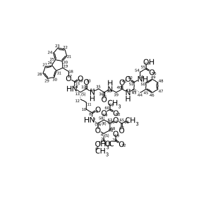 COC(=O)[C@H]1O[C@H](NC(=O)CCC[C@H](NC(=O)OCC2c3ccccc3-c3ccccc32)C(=O)NCC(=O)NCC(=O)N[C@@H](Cc2ccccc2)C(=O)NCC(=O)O)[C@H](OC(C)=O)[C@@H](OC(C)=O)[C@@H]1OC(C)=O